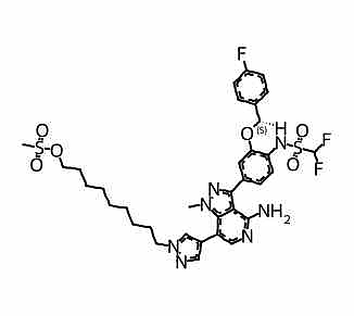 C[C@H](Oc1cc(-c2nn(C)c3c(-c4cnn(CCCCCCCCCOS(C)(=O)=O)c4)cnc(N)c23)ccc1NS(=O)(=O)C(F)F)c1ccc(F)cc1